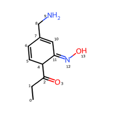 CCC(=O)C1C=CC(CN)=C/C1=N\O